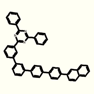 c1ccc(-c2nc(-c3ccccc3)nc(-c3cccc(-c4cccc(-c5ccc(-c6ccc(-c7ccc8ccccc8c7)cc6)cc5)c4)c3)n2)cc1